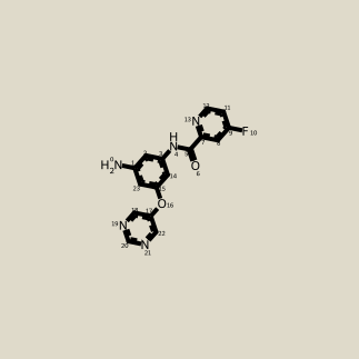 Nc1cc(NC(=O)c2cc(F)ccn2)cc(Oc2cncnc2)c1